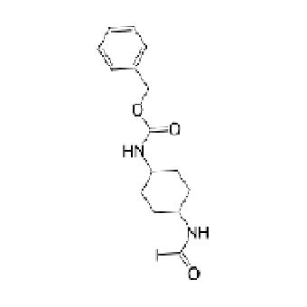 O=C(I)NC1CCC(NC(=O)OCc2ccccc2)CC1